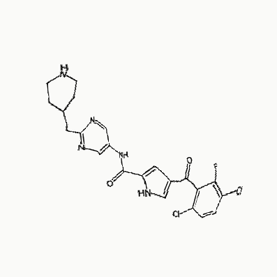 O=C(Nc1cnc(CC2CCNCC2)nc1)c1cc(C(=O)c2c(Cl)ccc(Cl)c2F)c[nH]1